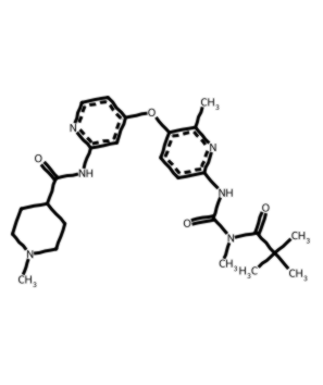 Cc1nc(NC(=O)N(C)C(=O)C(C)(C)C)ccc1Oc1ccnc(NC(=O)C2CCN(C)CC2)c1